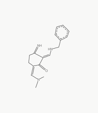 CN(C)/C=C1/CCC(=N)/C(=C\NCc2ccccc2)C1=O